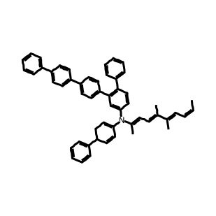 C\C=C/C=C(C)/C(C)=C/C=C(\C)N(C1=CCC(c2ccccc2)C=C1)c1ccc(-c2ccccc2)c(-c2ccc(-c3ccc(-c4ccccc4)cc3)cc2)c1